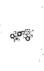 Cn1c(=O)n(-c2ccc(C[C@H](NC(=O)c3c(F)cccc3Cl)C(=O)O)cc2)c2c(Cl)cccc21